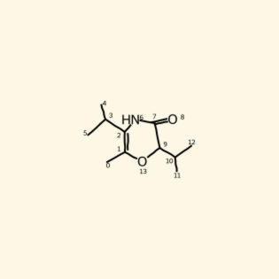 CC1=C(C(C)C)NC(=O)C(C(C)C)O1